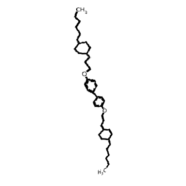 CCCCCCC1CCC(CCCOc2ccc(-c3ccc(OCCCC4CCC(CCCCCC)CC4)cc3)cc2)CC1